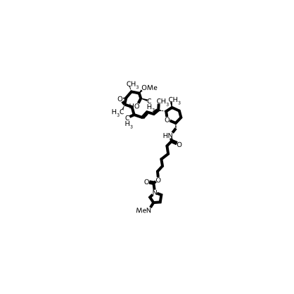 CNC1CCN(C(=O)OCCCCCC(=O)NC[C@H]2CC[C@H](C)[C@@H](/C(C)=C/C=C/C(C)C[C@@]3(C)O[C@@H]3[C@H](C)[C@@H](OC)[C@@H](C)O)O2)C1